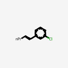 CCC/C=C/c1cc[c]c(Cl)c1